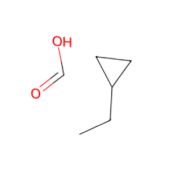 CCC1CC1.O=CO